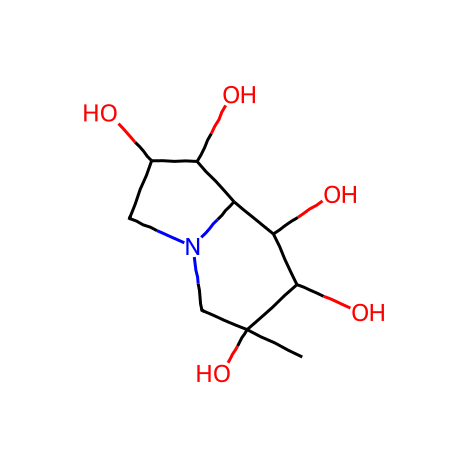 CC1(O)CN2CC(O)C(O)C2C(O)C1O